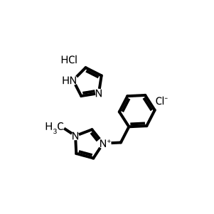 Cl.Cn1cc[n+](Cc2ccccc2)c1.[Cl-].c1c[nH]cn1